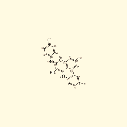 CCC(=C\Oc1ccc(C)cc1)/C(=N/c1ccc(C)cc1)Oc1cccc(C)c1